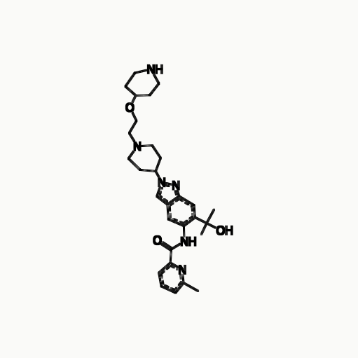 Cc1cccc(C(=O)Nc2cc3cn(C4CCN(CCOC5CCNCC5)CC4)nc3cc2C(C)(C)O)n1